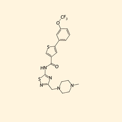 CN1CCN(Cc2nsc(NC(=O)c3csc(-c4cccc(OC(F)(F)F)c4)c3)n2)CC1